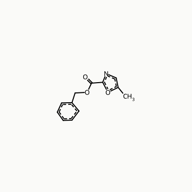 Cc1cnc(C(=O)OCc2ccccc2)o1